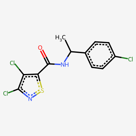 CC(NC(=O)c1snc(Cl)c1Cl)c1ccc(Cl)cc1